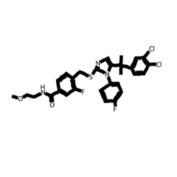 COCCNC(=O)c1ccc(CSc2ncc(C(C)(C)c3ccc(Cl)c(Cl)c3)n2-c2ccc(F)cc2)c(F)c1